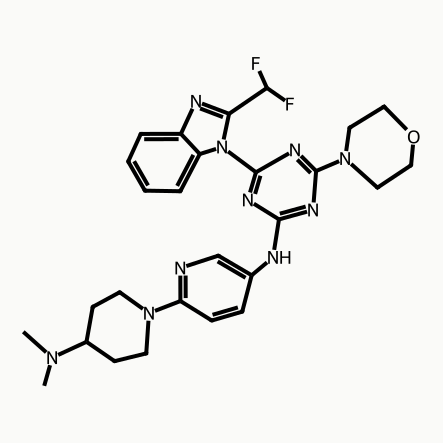 CN(C)C1CCN(c2ccc(Nc3nc(N4CCOCC4)nc(-n4c(C(F)F)nc5ccccc54)n3)cn2)CC1